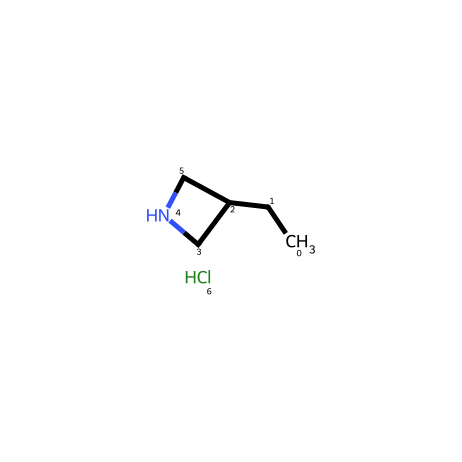 CCC1CNC1.Cl